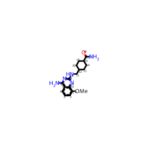 COc1cccc2c(N)nc(NCC3CCC(C(N)=O)CC3)nc12